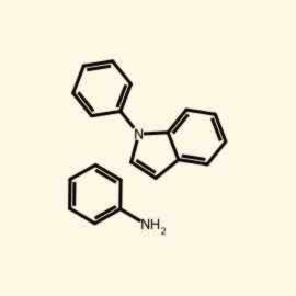 Nc1ccccc1.c1ccc(-n2ccc3ccccc32)cc1